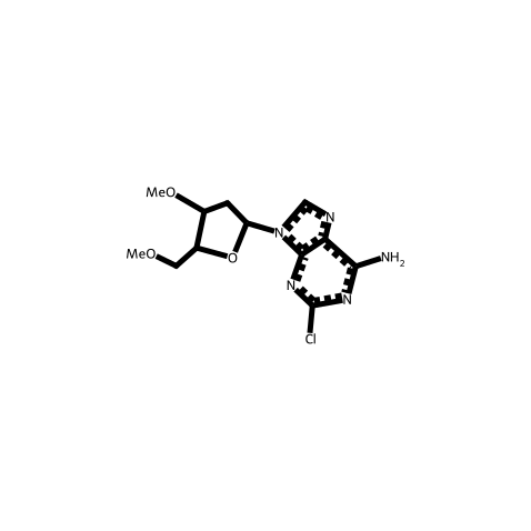 COCC1OC(n2cnc3c(N)nc(Cl)nc32)CC1OC